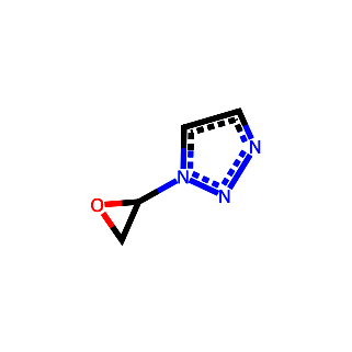 c1cn(C2CO2)nn1